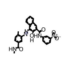 CNC(=O)c1ccc(C)c(/N=N/c2c(O)c(C(=O)Nc3cccc([N+](=O)[O-])c3)cc3ccccc23)c1